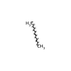 CCCC=CCC=CCCCCCC